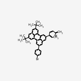 C=C(Br)/C=C\C(=C/C)c1cc2cc(-c3ccc(Br)cc3)cc3c4cc(C(C)(C)C)cc5cc(C(C)(C)C)cc(c(c1)c23)c54